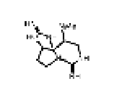 CNC1CNC(=N)N2CC[C@@H](O)[C@]12NC=N